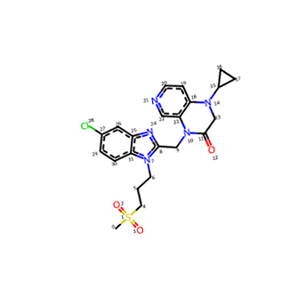 CS(=O)(=O)CCCn1c(CN2C(=O)CN(C3CC3)c3ccncc32)nc2cc(Cl)ccc21